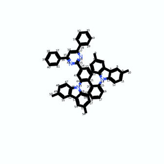 Cc1ccc2c(c1)c1cc(C)ccc1n2-c1ccccc1-c1ccc(-c2nc(-c3ccccc3)cc(-c3ccccc3)n2)cc1-n1c2ccc(C)cc2c2cc(C)ccc21